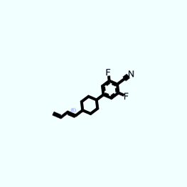 C=C/C=C/C1CCC(c2cc(F)c(C#N)c(F)c2)CC1